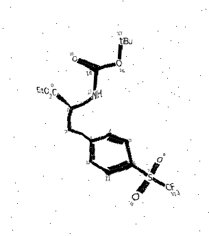 CCOC(=O)[C@H](Cc1ccc(S(=O)(=O)C(F)(F)F)cc1)NC(=O)OC(C)(C)C